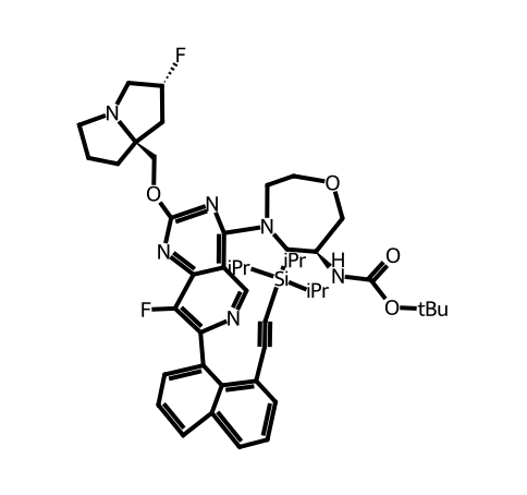 CC(C)[Si](C#Cc1cccc2cccc(-c3ncc4c(N5CCOC[C@@H](NC(=O)OC(C)(C)C)C5)nc(OC[C@@]56CCCN5C[C@H](F)C6)nc4c3F)c12)(C(C)C)C(C)C